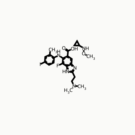 CONC1CC1.Cc1cc(I)ccc1Nc1c(C(=O)O)cc2nc(CCN(C)C)[nH]c2c1F